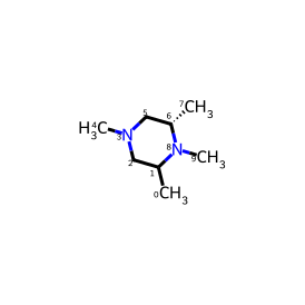 CC1CN(C)C[C@H](C)N1C